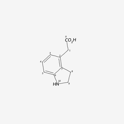 O=C(O)Cc1cccc2c1CCN2